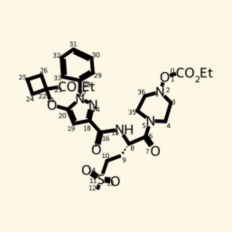 CCOC(=O)ON1CCN(C(=O)[C@H](CCS(C)(=O)=O)NC(=O)c2cc(OC3(C(=O)OCC)CCC3)n(-c3ccccc3)n2)CC1